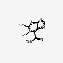 CCCc1nc2ncnc-2c(C(=O)C=O)n1CCC